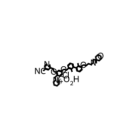 Cc1c(COc2cc(OCc3cncc(C#N)c3)c(CN3CCCC[C@H]3C(=O)O)cc2Cl)cccc1-c1cccc(OCCCN2CC3(CCOCC3)C2)c1C